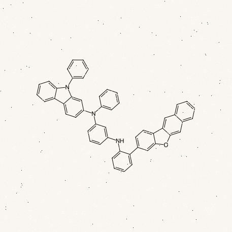 c1ccc(N(c2cccc(Nc3ccccc3-c3ccc4c(c3)oc3cc5ccccc5cc34)c2)c2ccc3c4ccccc4n(-c4ccccc4)c3c2)cc1